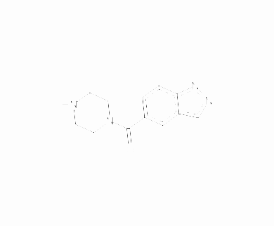 O=C(c1ccc2[nH]ncc2c1)N1CCNCC1